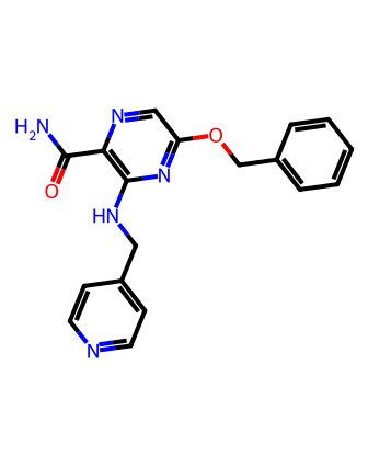 NC(=O)c1ncc(OCc2ccccc2)nc1NCc1ccncc1